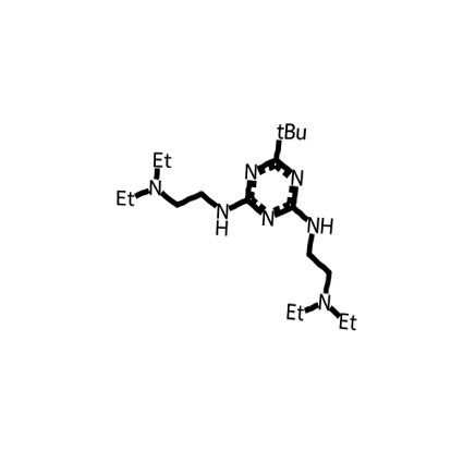 CCN(CC)CCNc1nc(NCCN(CC)CC)nc(C(C)(C)C)n1